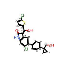 O=C1Nc2cc(Cl)c(-c3ccc(C4(CO)CC4)cc3)cc2C1=C(O)c1ccc(Cl)s1